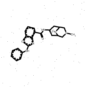 CN1CC2CC(NC(=O)c3cccc4oc(Nc5ccccc5)nc34)CC(C1)N2C